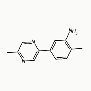 Cc1cnc(-c2ccc(C)c(N)c2)cn1